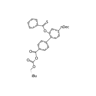 CCCCCCCCCCc1ccc(-c2ccc(C(=O)OC(=O)OC[C@@H](C)CC)cc2)c(OC(=S)c2ccccc2)c1